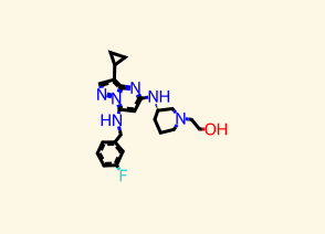 OCCN1CCC[C@H](Nc2cc(NCc3cccc(F)c3)n3ncc(C4CC4)c3n2)C1